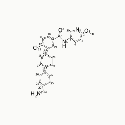 COc1ccc(NC(=O)c2ccc(Cl)c(-c3ccc(-c4ccc(CN)cc4)cc3)c2)cn1